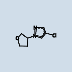 Clc1cnn(C2CCOC2)c1